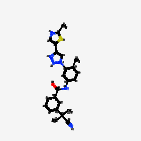 Cc1ncc(-c2cn(-c3cc(NC(=O)c4cccc(C(C)(C)C#N)c4)ccc3C)nn2)s1